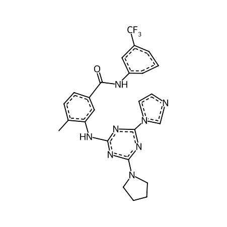 Cc1ccc(C(=O)Nc2cccc(C(F)(F)F)c2)cc1Nc1nc(N2CCCC2)nc(-n2ccnc2)n1